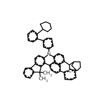 CC1(C)c2ccccc2-c2ccc(N(c3ccc(C4CC5CCC4C5)cc3)c3cccc(-c4ccccc4C4CCCCC4)c3)c(-c3ccc(-c4ccccc4)cc3)c21